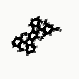 N#Cc1cccc(C#N)c1-n1c2ccccc2c2cc3c(cc21)c1ccccc1n3-c1c(C(F)(F)F)cc(C(F)(F)F)cc1C(F)(F)F